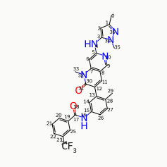 Cc1cc(Nc2cc3c(cn2)cc(-c2cc(NC(=O)c4cccc(C(F)(F)F)c4)ccc2C)c(=O)n3C)n(C)n1